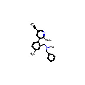 C#Cc1cnc(OC)c(-c2ccc(C)cc2CN(Cc2ccccc2)C(C)=O)c1